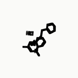 CC1=CN(C)C2C=CC=CC23C1CCN3CCc1ccccc1.Cl